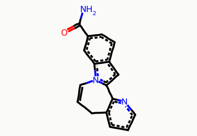 NC(=O)c1ccc2cc3n(c2c1)C=CCc1cccnc1-3